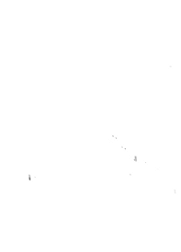 CC(C)CCCCCCCCCCO.N.N.N.O=P(O)(O)O